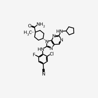 C[C@]1(C(N)=O)CC[C@H](n2c(Nc3c(F)cc(C#N)cc3Cl)nc3cnc(NC4CCCC4)nc32)CC1